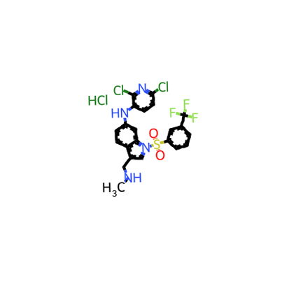 CNCc1cn(S(=O)(=O)c2cccc(C(F)(F)F)c2)c2cc(Nc3ccc(Cl)nc3Cl)ccc12.Cl